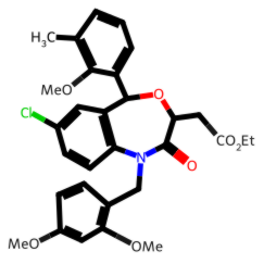 CCOC(=O)CC1OC(c2cccc(C)c2OC)c2cc(Cl)ccc2N(Cc2ccc(OC)cc2OC)C1=O